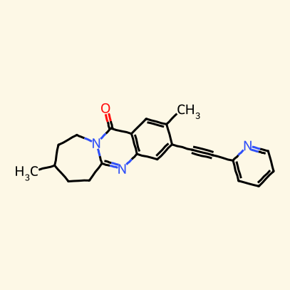 Cc1cc2c(=O)n3c(nc2cc1C#Cc1ccccn1)CCC(C)CC3